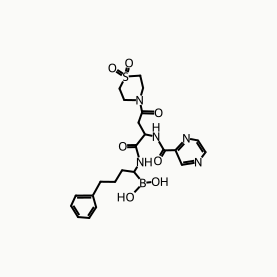 O=C(NC(CC(=O)N1CCS(=O)(=O)CC1)C(=O)NC(CCCc1ccccc1)B(O)O)c1cnccn1